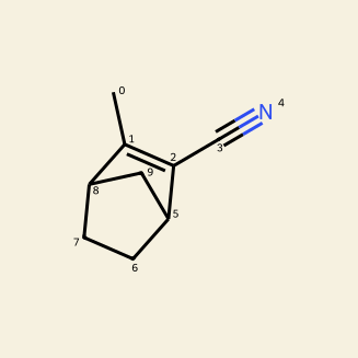 CC1=C(C#N)C2CCC1C2